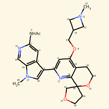 CC(=O)Nc1cc2c(-c3cc(OCC4CN(C)C4)c4c(n3)C3(CCOC3)OCC4)cn(C)c2cn1